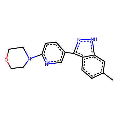 Cc1ccc2c(-c3ccc(N4CCOCC4)nc3)n[nH]c2c1